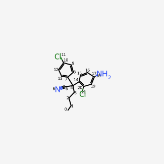 CCCCC(C#N)(c1ccc(Cl)cc1)c1ccc(N)cc1Cl